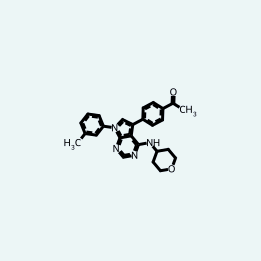 CC(=O)c1ccc(-c2cn(-c3cccc(C)c3)c3ncnc(NC4CCOCC4)c23)cc1